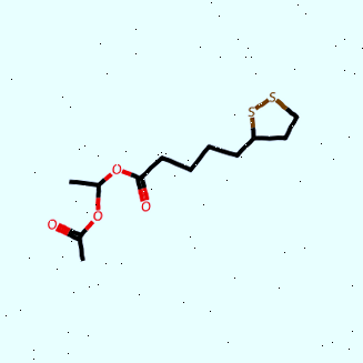 CC(=O)OC(C)OC(=O)CCCCC1CCSS1